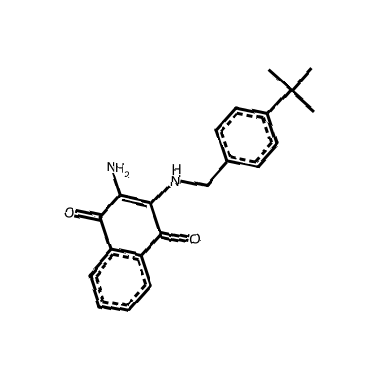 CC(C)(C)c1ccc(CNC2=C(N)C(=O)c3ccccc3C2=O)cc1